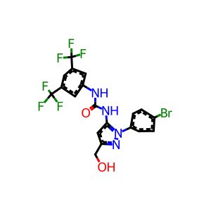 O=C(Nc1cc(C(F)(F)F)cc(C(F)(F)F)c1)Nc1cc(CO)nn1-c1ccc(Br)cc1